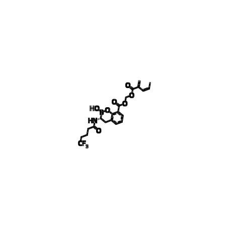 C=C(/C=C\C)C(=O)OCOC(=O)c1cccc2c1OB(O)[C@@H](NC(=O)CCCC(F)(F)F)C2